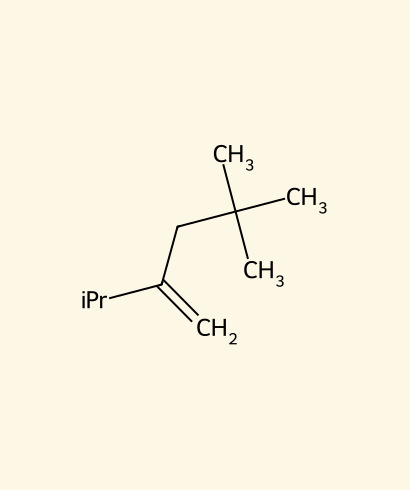 C=C(CC(C)(C)C)C(C)C